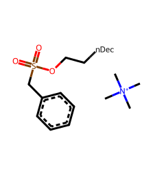 CCCCCCCCCCCCOS(=O)(=O)Cc1ccccc1.C[N+](C)(C)C